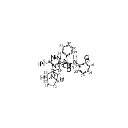 Cc1nnc(C(C)C)n1[C@@H]1C[C@H]2CC[C@@H](C1)N2CCCN(C(=O)Nc1ccccc1Cl)c1ccccc1